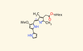 CCCCCCOC(=O)CC1=C(C)/C(=C/c2[nH]c(-c3ccc[nH]3)cc2OC)N=C1C